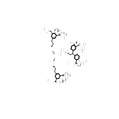 CC(C)(C)c1cc(CCC(=O)OCCSCCOC(=O)CCc2cc(C(C)(C)C)c(O)c(C(C)(C)C)c2)cc(C(C)(C)C)c1O.CCCC(c1cc(C(C)(C)C)c(O)cc1C)c1cc(C(C)(C)C)c(O)cc1C